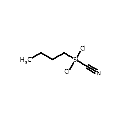 CCCC[Si](Cl)(Cl)C#N